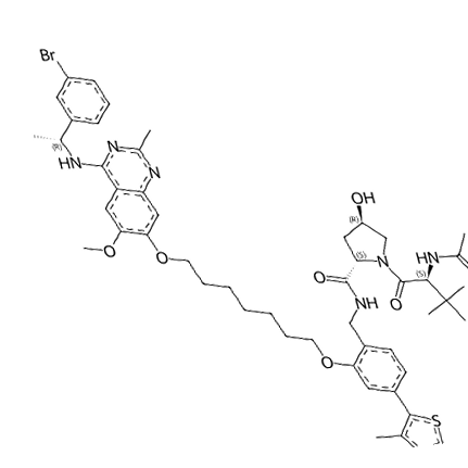 COc1cc2c(N[C@H](C)c3cccc(Br)c3)nc(C)nc2cc1OCCCCCCCOc1cc(-c2scnc2C)ccc1CNC(=O)[C@@H]1C[C@@H](O)CN1C(=O)[C@@H](NC(C)=O)C(C)(C)C